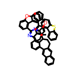 CC1C/C=C(c2cc3c(cc2C2CCc4cc5ccccc5cc4-c4ccccc42)oc2ccccc23)/N=C(c2cccc3oc4ccccc4c23)\N=C/1c1cccc2sc3ccccc3c12